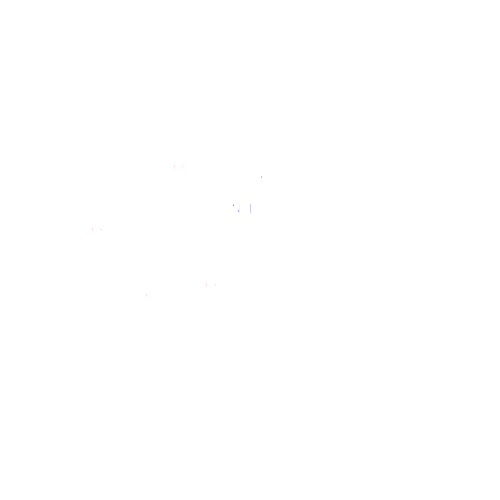 CCOC(=O)C1=C(NC2(c3ccc(Cl)cc3)CC2)OCC1=O